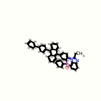 CCc1nc2cccc3c2n1-c1ccc(-c2c4ccccc4c(-c4ccc(-c5ccccc5)cc4)c4ccccc24)cc1P3(=O)c1ccccc1